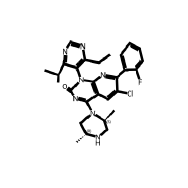 CCc1ncnc(C(C)C)c1-n1c(=O)nc(N2C[C@@H](C)NC[C@@H]2C)c2cc(Cl)c(-c3ccccc3F)nc21